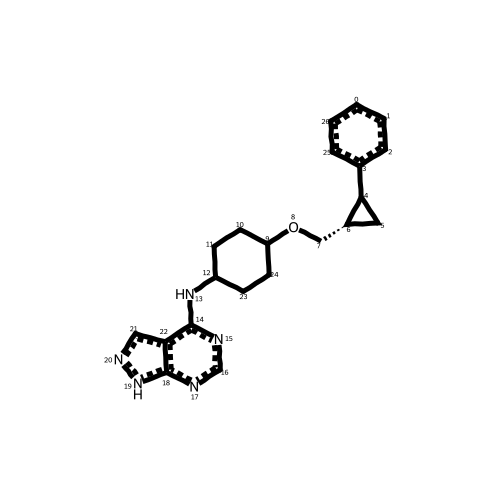 c1ccc(C2C[C@@H]2COC2CCC(Nc3ncnc4[nH]ncc34)CC2)cc1